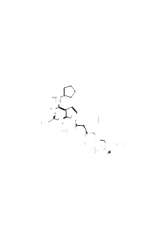 CO[C@H](COCP(=O)(O)O)[C@@H](O)[C@@H](O)n1ccc2c(N(C)C3CCCC3)nc(Cl)nc21